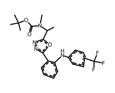 CC(c1nnc(-c2ccccc2Nc2ccc(C(F)(F)F)cc2)o1)N(C)C(=O)OC(C)(C)C